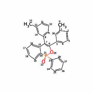 Cc1cccc(C2=C(c3cccc(C)c3)c3ccccc3P(=O)(c3ccccc3)O2)c1